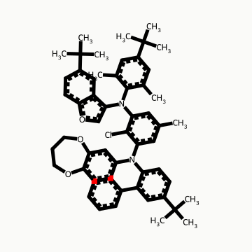 Cc1cc(N(c2ccc3c(c2)OCCCO3)c2ccc(C(C)(C)C)cc2-c2ccccc2)c(Cl)c(N(c2c(C)cc(C(C)(C)C)cc2C)c2coc3ccc(C(C)(C)C)cc23)c1